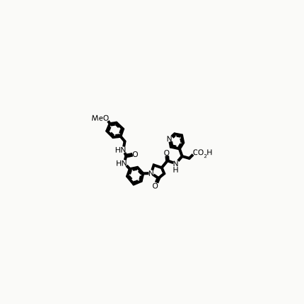 COc1ccc(CNC(=O)Nc2cccc(N3CC(C(=O)NC(CC(=O)O)c4cccnc4)CC3=O)c2)cc1